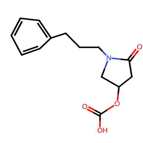 O=C(O)OC1CC(=O)N(CCCc2ccccc2)C1